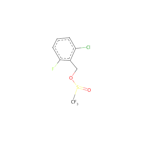 O=S(OCc1c(F)cccc1Cl)C(F)(F)F